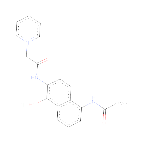 COC(=O)Nc1cccc2c(O)c(NC(=O)C[n+]3ccccc3)ccc12.[Cl-]